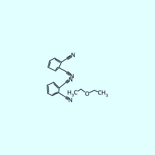 CCOCC.N#Cc1ccccc1C#N.N#Cc1ccccc1C#N